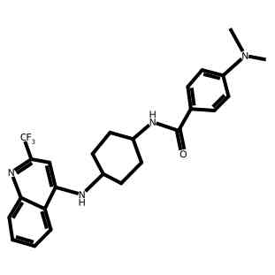 CN(C)c1ccc(C(=O)NC2CCC(Nc3cc(C(F)(F)F)nc4ccccc34)CC2)cc1